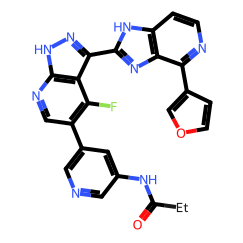 CCC(=O)Nc1cncc(-c2cnc3[nH]nc(-c4nc5c(-c6ccoc6)nccc5[nH]4)c3c2F)c1